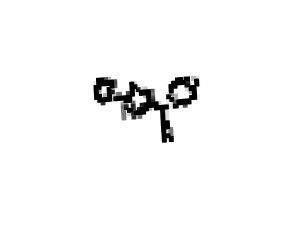 N#CC(c1cnc(N2CCCC2)nc1)N1CCOCC1